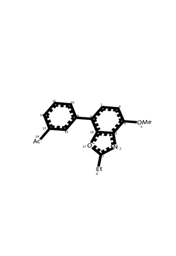 CCc1nc2c(OC)ccc(-c3cccc(C(C)=O)c3)c2o1